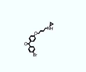 O=C(c1ccc(Br)cc1)c1ccc(OCC=CCNC2CC2)cc1